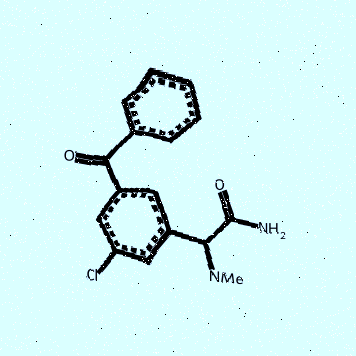 CNC(C(N)=O)c1cc(Cl)cc(C(=O)c2ccccc2)c1